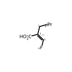 CC(C)C/C(=C/F)C(=O)O